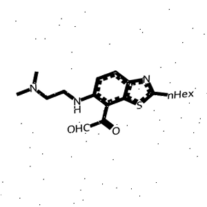 CCCCCCc1nc2ccc(NCCN(C)C)c(C(=O)C=O)c2s1